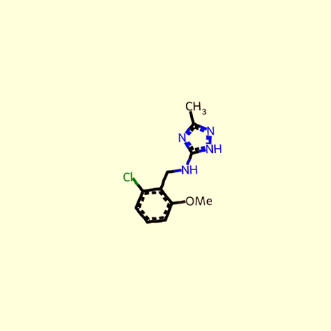 COc1cccc(Cl)c1CNc1nc(C)n[nH]1